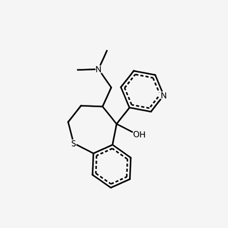 CN(C)CC1CCSc2ccccc2C1(O)c1cccnc1